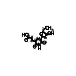 CC[C@H]1O[C@@H](n2cc(/C=C/C(=O)O)c(=O)[nH]c2=O)C[C@H]1O